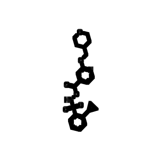 O=C(ONS(=O)(=O)c1ccccc1C1CC1)c1ccnc(OCC2CCOCC2)c1